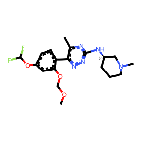 COCOc1cc(OC(F)F)ccc1-c1nnc(N[C@@H]2CCCN(C)C2)nc1C